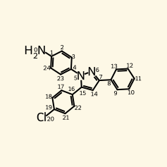 Nc1ccc(-n2nc(-c3ccccc3)cc2-c2ccc(Cl)cc2)cc1